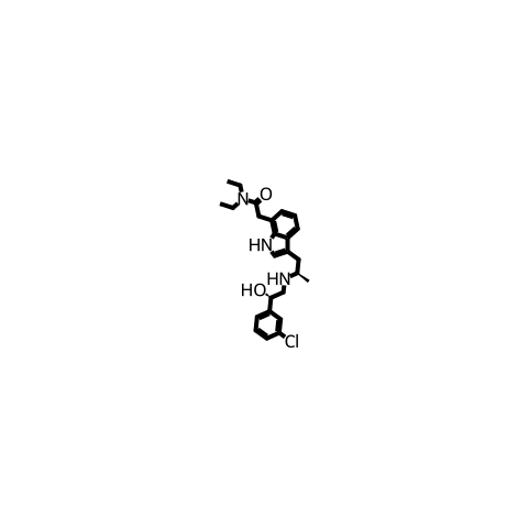 CCN(CC)C(=O)Cc1cccc2c(C[C@@H](C)NC[C@@H](O)c3cccc(Cl)c3)c[nH]c12